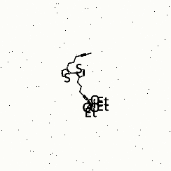 CC#CCCCc1ccsc1-c1sccc1CCCC#C[Si](OCC)(OCC)OCC